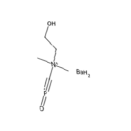 C[N+](C)(C#P=O)CCO.[BaH2]